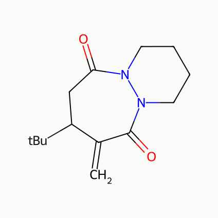 C=C1C(=O)N2CCCCN2C(=O)CC1C(C)(C)C